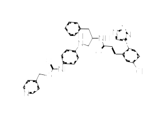 O=C(C=Cc1cc(Cl)ccc1-n1cnnn1)NC(CNc1ccc(NC(=O)OCc2ccncc2)cc1)Cc1ccccc1